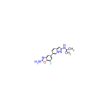 C=C(C)Nc1cc2ccc(-c3cc(F)c4oc(N)nc4c3)cn2n1